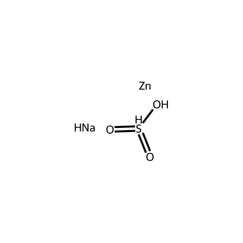 O=[SH](=O)O.[NaH].[Zn]